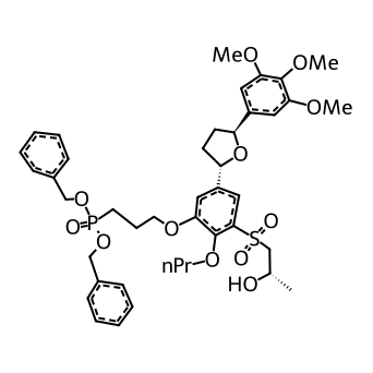 CCCOc1c(OCCCP(=O)(OCc2ccccc2)OCc2ccccc2)cc([C@@H]2CC[C@@H](c3cc(OC)c(OC)c(OC)c3)O2)cc1S(=O)(=O)C[C@H](C)O